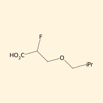 CC(C)COCC(F)C(=O)O